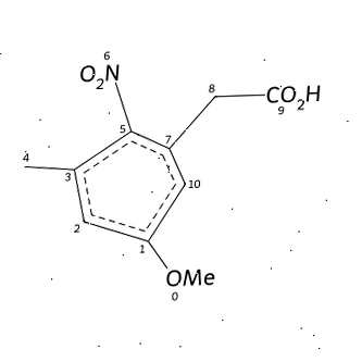 COc1cc(C)c([N+](=O)[O-])c(CC(=O)O)c1